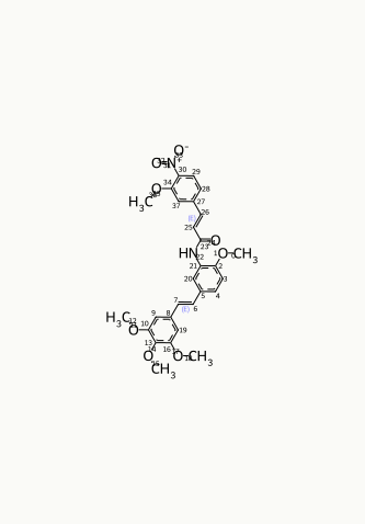 COc1ccc(/C=C/c2cc(OC)c(OC)c(OC)c2)cc1NC(=O)/C=C/c1ccc([N+](=O)[O-])c(OC)c1